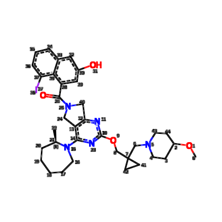 COC1CCN(CC2(COc3nc4c(c(N5CCCCC[C@H]5C)n3)CN(C(=O)c3cc(O)cc5cccc(I)c35)C4)CC2)CC1